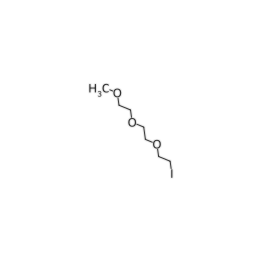 COCCOCCOCCI